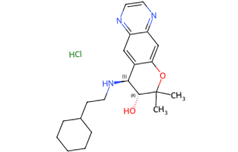 CC1(C)Oc2cc3nccnc3cc2[C@H](NCCC2CCCCC2)[C@H]1O.Cl